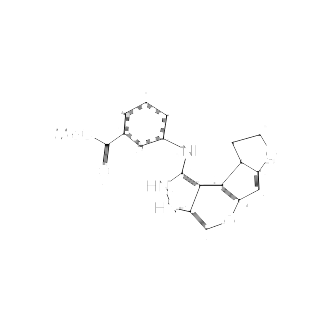 COC(=O)c1cccc(NC2=C3C(=COC4=C3C3CCOC3=C4)NN2)c1